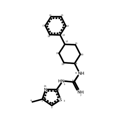 Cc1csc(NC(=N)NC2CCC(c3ccccc3)CC2)n1